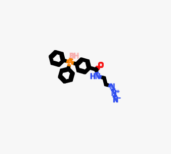 B=P(c1ccccc1)(c1ccccc1)c1ccc(C(=O)NCCN=[N+]=[N-])cc1